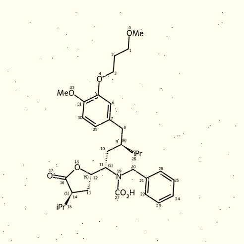 COCCCOc1cc(C[C@H](C[C@@H]([C@@H]2C[C@@H](C(C)C)C(=O)O2)N(Cc2ccccc2)C(=O)O)C(C)C)ccc1OC